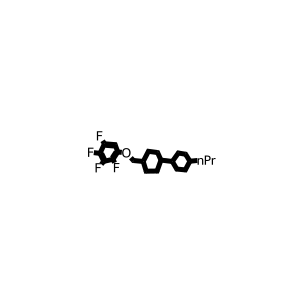 CCCC1CCC(C2CCC(COc3cc(F)c(F)c(F)c3F)CC2)CC1